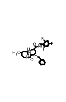 CC1=CCN2C[C@H](C1)N1C=C(C(=O)NCc3c(F)cc(F)cc3F)CC(OCc3ccccc3)=C1C2=O